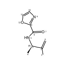 C=C(C)[C@@H](C)NC(=O)c1ncco1